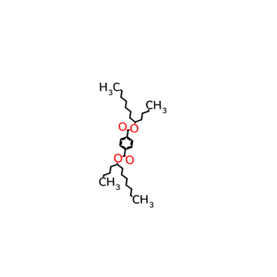 CCCCCCCC(CCCC)OC(=O)c1ccc(C(=O)OC(CCCC)CCCCCCC)cc1